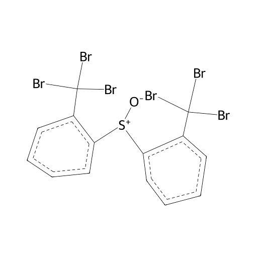 [O-][S+](c1ccccc1C(Br)(Br)Br)c1ccccc1C(Br)(Br)Br